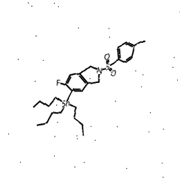 CCC[CH2][Sn]([CH2]CCC)([CH2]CCC)[c]1cc2c(cc1F)CN(S(=O)(=O)c1ccc(C)cc1)C2